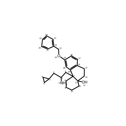 NC(CC1CC1)CC12CCCCC1(O)CCc1ccc(OCc3ccccc3)cc12